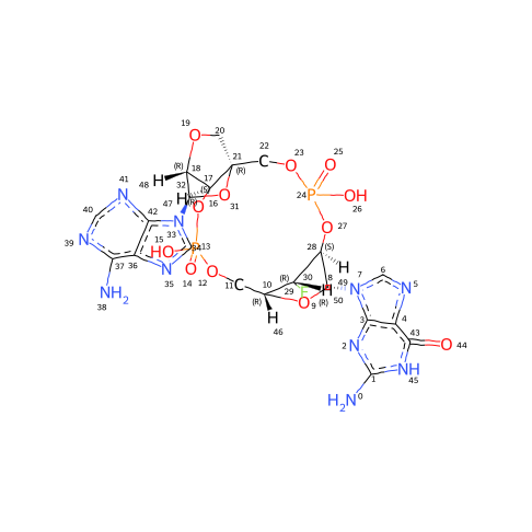 Nc1nc2c(ncn2[C@@H]2O[C@@H]3COP(=O)(O)O[C@H]4[C@H]5OC[C@]4(COP(=O)(O)O[C@@H]2[C@@H]3F)O[C@H]5n2cnc3c(N)ncnc32)c(=O)[nH]1